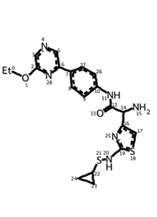 CCOc1cncc(-c2ccc(NC(=O)C(N)c3csc(NSC4CC4)n3)cc2)n1